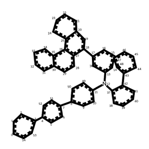 c1ccc(-c2ccc(-c3ccc(N(c4cccc(-c5cc6ccccc6c6c5ccc5ccccc56)c4)c4ccccc4-c4ccccc4)cc3)cc2)cc1